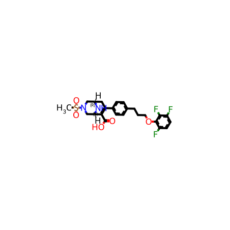 CS(=O)(=O)N1C[C@H]2CC(c3ccc(CCCOc4c(F)ccc(F)c4F)cc3)=C(C(=O)O)[C@@H](C1)N2